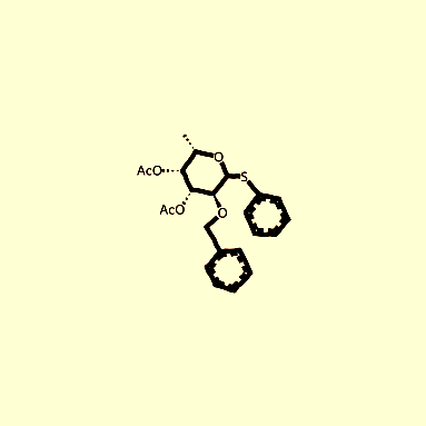 CC(=O)O[C@@H]1[C@H](OC(C)=O)[C@H](C)OC(Sc2ccccc2)[C@H]1OCc1ccccc1